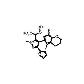 Cc1c(-c2c(-c3cccs3)nn(C)c2C(OC(C)(C)C)C(=O)O)cc(F)c2c1CCCO2